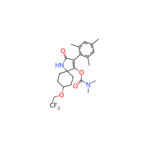 Cc1cc(C)c(C2=C(OC(=O)N(C)C)C3(CCC(OCC(F)(F)F)CC3)NC2=O)c(C)c1